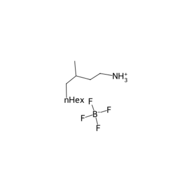 CCCCCCCC(C)CC[NH3+].F[B-](F)(F)F